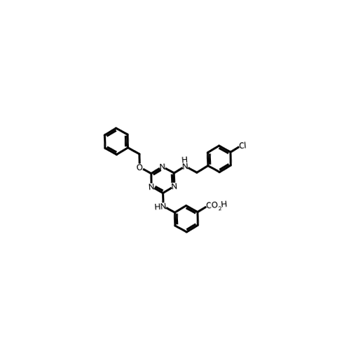 O=C(O)c1cccc(Nc2nc(NCc3ccc(Cl)cc3)nc(OCc3ccccc3)n2)c1